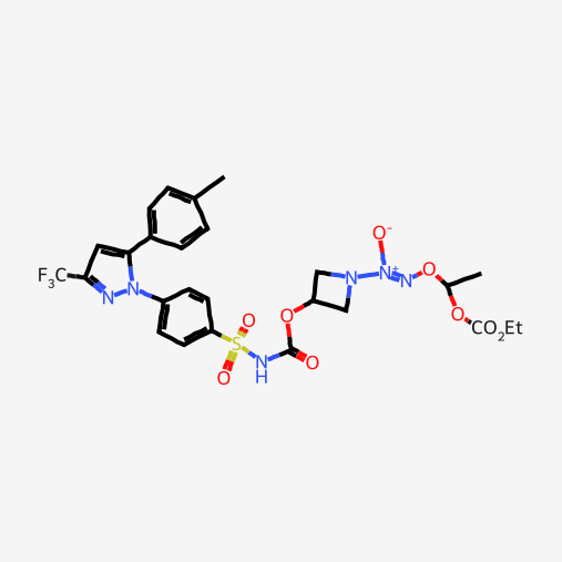 CCOC(=O)OC(C)ON=[N+]([O-])N1CC(OC(=O)NS(=O)(=O)c2ccc(-n3nc(C(F)(F)F)cc3-c3ccc(C)cc3)cc2)C1